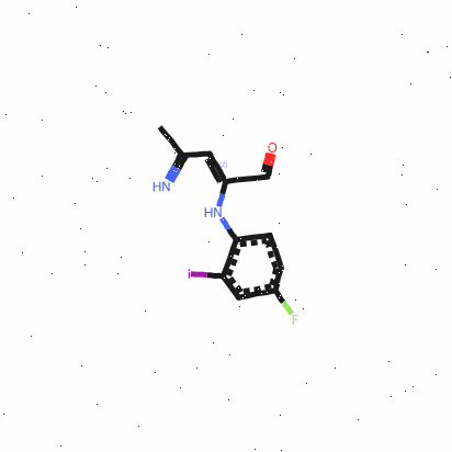 CC(=N)/C=C(/C=O)Nc1ccc(F)cc1I